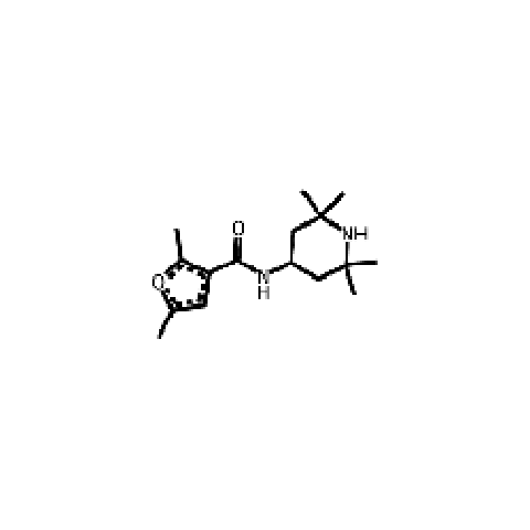 Cc1cc(C(=O)NC2CC(C)(C)NC(C)(C)C2)c(C)o1